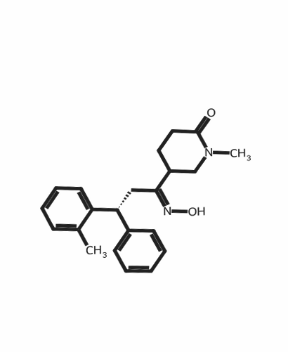 Cc1ccccc1[C@H](C/C(=N/O)C1CCC(=O)N(C)C1)c1ccccc1